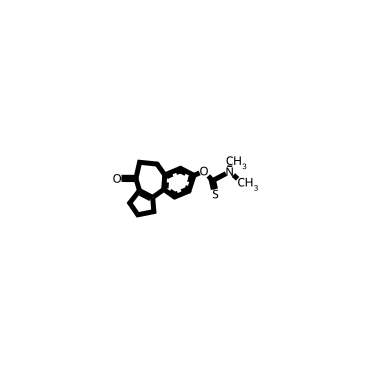 CN(C)C(=S)Oc1ccc2c(c1)CCC(=O)C1=C2CCC1